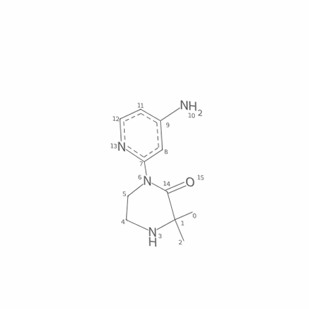 CC1(C)NCCN(c2cc(N)ccn2)C1=O